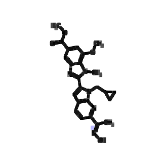 COC(=O)c1cc(OC)c2c(c1)nc(-c1cc3ccc(/C(C)=N/O)nc3n1CC1CC1)n2C